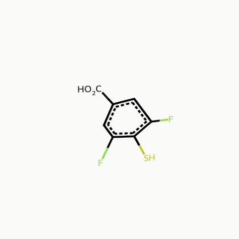 O=C(O)c1cc(F)c(S)c(F)c1